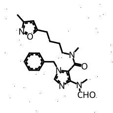 Cc1cc(CCCCN(C)C(=O)c2c(N(C)C=O)ncn2Cc2ccccc2)on1